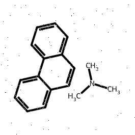 CN(C)C.c1ccc2c(c1)ccc1ccccc12